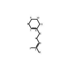 CC(C)=CCCC1=CCCCC1